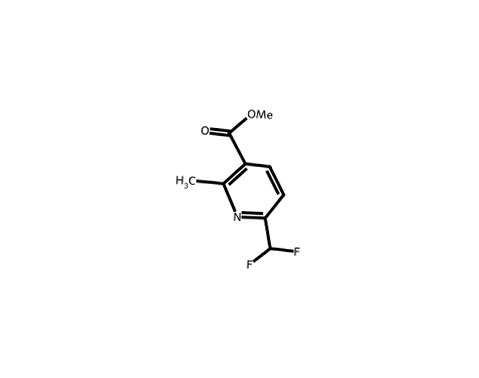 COC(=O)c1ccc(C(F)F)nc1C